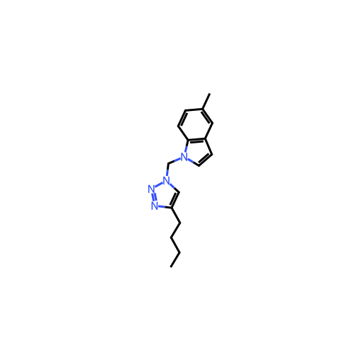 CCCCc1cn(Cn2ccc3cc(C)ccc32)nn1